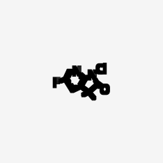 CC1(C)C(=O)N(Cl)c2ncc(F)cc21